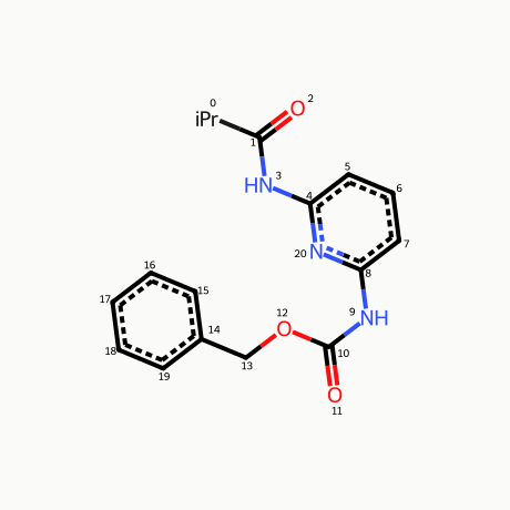 CC(C)C(=O)Nc1cccc(NC(=O)OCc2ccccc2)n1